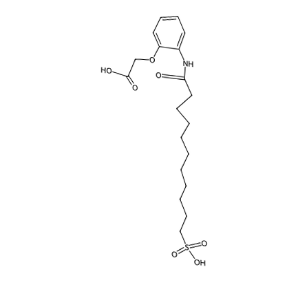 O=C(O)COc1ccccc1NC(=O)CCCCCCCCCCS(=O)(=O)O